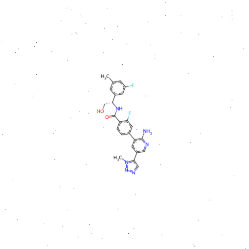 Cc1cc(F)cc([C@@H](CO)NC(=O)c2ccc(-c3cc(-c4cnnn4C)cnc3N)cc2F)c1